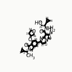 C[C@@H](C1CC1)N1Cc2cc(-c3ccn4nc(N)c(C(=O)N[C@@H](CO)C5CC5)c4n3)cc(O[C@@H]3CCOC3)c2C1=O